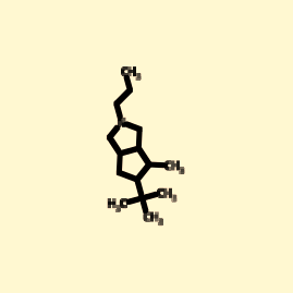 CCCN1CC2CC(C(C)(C)C)C(C)C2C1